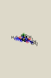 CCNC(=O)Nc1cc(-c2nc(C(F)(F)F)cs2)c(-c2ccc3c(=O)c(C(=O)NCCN(C)C)cn(CC(C)C)c3c2)cn1